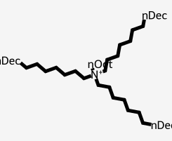 CCCCCCCCCCCCCCCCC[N+](CCCCCCCC)(CCCCCCCCCCCCCCCCC)CCCCCCCCCCCCCCCCC